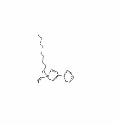 CCCCCCCCOC1(C#N)C=CC(c2ccccc2)=CC1